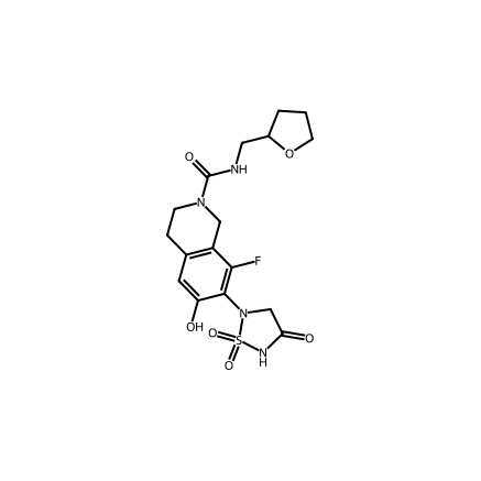 O=C1CN(c2c(O)cc3c(c2F)CN(C(=O)NCC2CCCO2)CC3)S(=O)(=O)N1